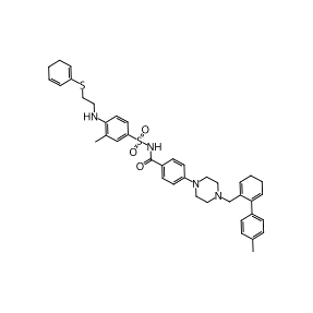 Cc1ccc(C2=CCCC=C2CN2CCN(c3ccc(C(=O)NS(=O)(=O)c4ccc(NCCSC5=CCCC=C5)c(C)c4)cc3)CC2)cc1